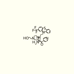 NNC(=O)c1ccncc1.OCCN1CCN(CCCN2c3ccccc3Sc3ccc(C(F)(F)F)cc32)CC1